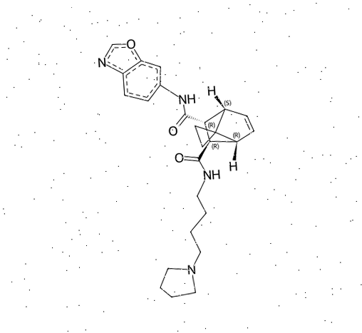 O=C(NCCCCN1CCCC1)[C@H]1[C@H](C(=O)Nc2ccc3ncoc3c2)[C@@H]2C=C[C@H]1C21CC1